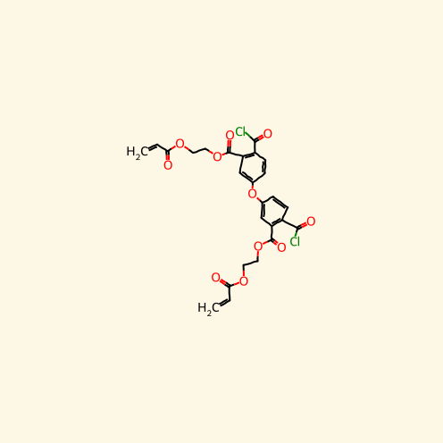 C=CC(=O)OCCOC(=O)c1cc(Oc2ccc(C(=O)Cl)c(C(=O)OCCOC(=O)C=C)c2)ccc1C(=O)Cl